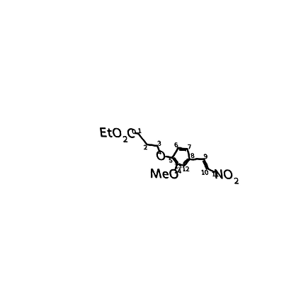 CCOC(=O)CCCOc1ccc(C=C[N+](=O)[O-])cc1OC